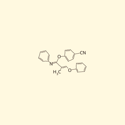 CC(=C\Oc1ccccc1)/C(=N/c1ccccc1)Oc1ccc(C#N)cc1